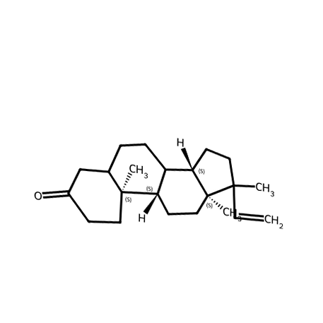 C=CC1(C)CC[C@H]2C3CCC4CC(=O)CC[C@]4(C)[C@H]3CC[C@@]21C